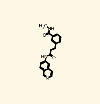 CNC(=O)c1cccc(CCC(=O)Nc2ccc3cnccc3c2)c1